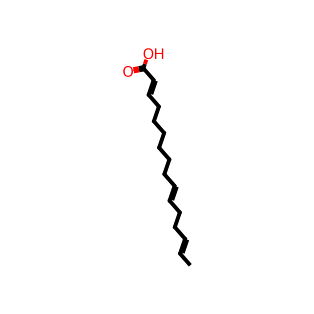 CC=CCCC=CCCCCCCC=CC(=O)O